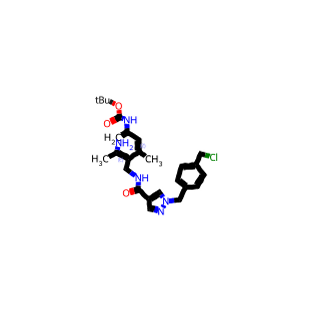 C=C(/C=C(C)\C(CNC(=O)c1cnn(Cc2ccc(CCl)cc2)c1)=C(\C)N)NC(=O)OC(C)(C)C